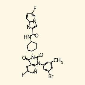 Cc1cc(Br)cc(-n2c(=O)n([C@H]3CC[C@@H](NC(=O)c4cn5cc(F)ccc5n4)CC3)c(=O)c3cc(F)cnc32)c1